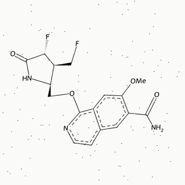 COc1cc2c(OC[C@H]3NC(=O)[C@H](F)[C@H]3CF)nccc2cc1C(N)=O